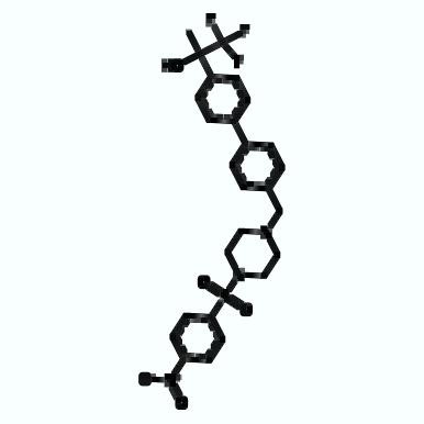 CC(O)(c1ccc(-c2ccc(CN3CCN(S(=O)(=O)c4ccc([N+](=O)[O-])cc4)CC3)cc2)cc1)C(F)(F)F